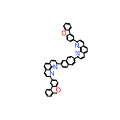 C1=Cc2ccc(-c3ccc4ccc5ccc(-c6ccc7c(c6)-c6ccccc6CO7)nc5c4n3)cc2C=CC=1c1ccc2ccc3ccc(-c4ccc5oc6ccccc6c5c4)nc3c2n1